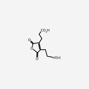 CCCCCCCCCCC1=C(CCC(=O)O)C(=O)OC1=O